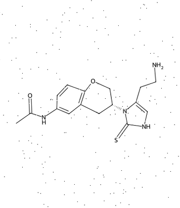 CC(=O)Nc1ccc2c(c1)C[C@@H](n1c(CCN)c[nH]c1=S)CO2